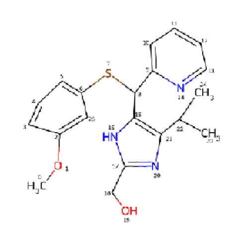 COc1cccc(SC(c2ccccn2)c2[nH]c(CO)nc2C(C)C)c1